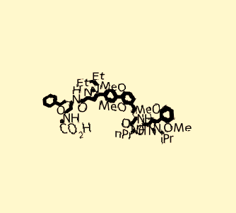 CCCNC(=O)[C@H](CCc1cccc(-c2cc(OC)c(-c3cc(C(=O)N[C@@H](CCC4CCCCC4)CC(=O)NCC(=O)O)nn3CC(CC)CC)c(OC)c2)c1)NC(=O)c1cc(-c2c(OC)cccc2OC)n(CC(C)C)n1